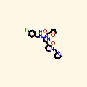 O=C(c1ccco1)n1nc(-c2cccn(Cc3ccccn3)c2=O)cc1NCc1ccc(F)cc1